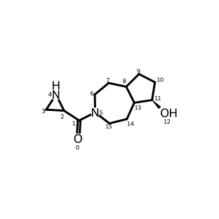 O=C(C1CN1)N1CCC2CC[C@@H](O)C2CC1